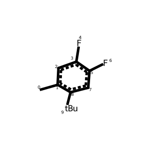 Cc1cc(F)c(F)cc1C(C)(C)C